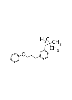 CC(C)(C)Cc1cccc(CCCOc2ccccc2)c1